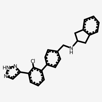 Clc1c(-c2ccc(CNC3Cc4ccccc4C3)cc2)cccc1-c1cn[nH]n1